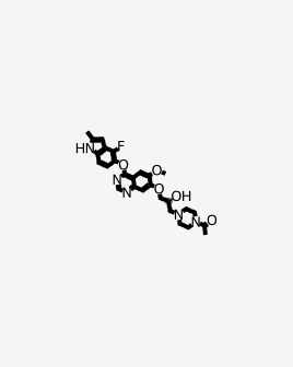 COc1cc2c(Oc3ccc4[nH]c(C)cc4c3F)ncnc2cc1OC[C@H](O)CN1CCN(C(C)=O)CC1